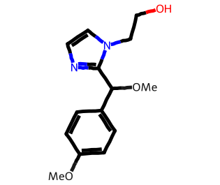 COc1ccc(C(OC)c2nccn2CCO)cc1